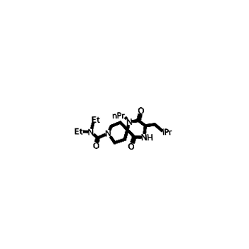 CCCN1C(=O)C(CC(C)C)NC(=O)C12CCN(C(=O)N(CC)CC)CC2